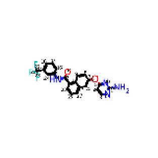 Nc1nccc(Oc2ccc3c(C(=O)Nc4cccc(C(F)(F)F)c4)cccc3c2)n1